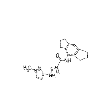 Cn1ccc(NSNC(=O)Nc2c3c(cc4c2CCC4)CCC3)n1